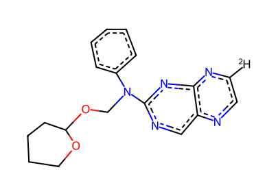 [2H]c1cnc2cnc(N(COC3CCCCO3)c3ccccc3)nc2n1